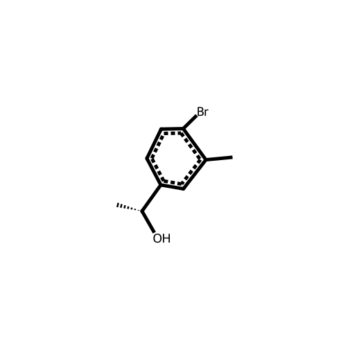 Cc1cc([C@@H](C)O)ccc1Br